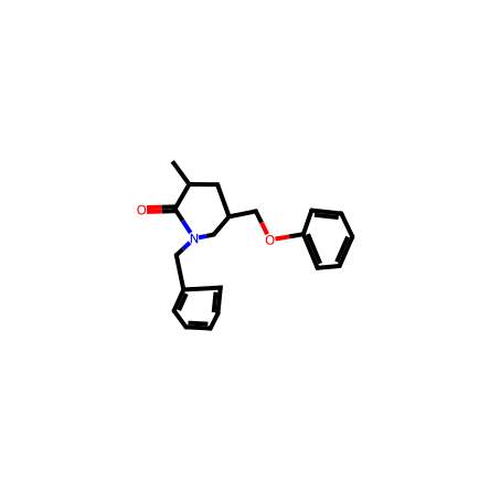 CC1CC(COc2ccccc2)CN(Cc2ccccc2)C1=O